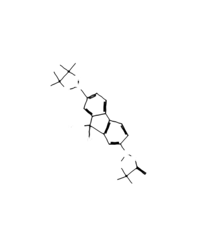 C=C1OB(c2ccc3c(c2)C(CCCCCCCC)(CCCCCCCC)c2cc(B4OC(C)(C)C(C)(C)O4)ccc2-3)OC1(C)C